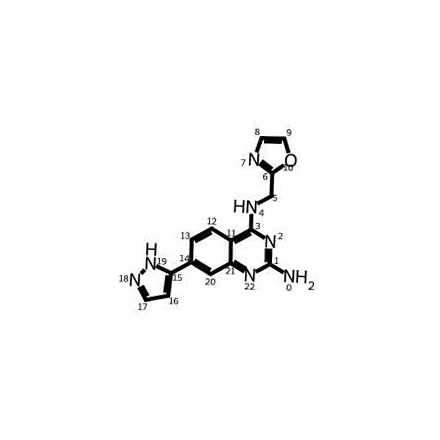 Nc1nc(NCc2ncco2)c2ccc(-c3ccn[nH]3)cc2n1